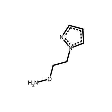 NOCCn1cccn1